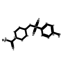 CC(=O)N1CCC(CS(=O)(=O)c2ccc(Br)cc2)CC1